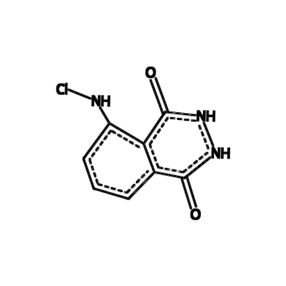 O=c1[nH][nH]c(=O)c2c(NCl)cccc12